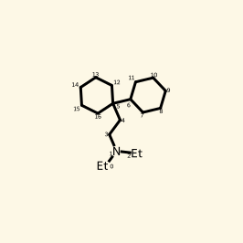 CCN(CC)CCC1(C2CCCCC2)CCCCC1